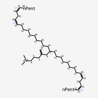 C=C(CCCN(C)C)CC(CCCCCCCC/C=C\C/C=C\CCCCC)CCCCCCCCC/C=C\C/C=C\CCCCC